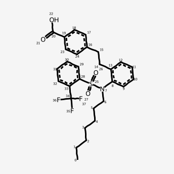 CCCCCCCN(c1ccccc1CCc1ccc(C(=O)O)cc1)S(=O)(=O)c1ccccc1C(F)(F)F